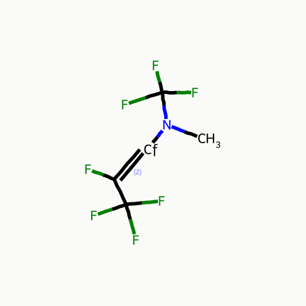 C[N](/[Cf]=[C](\F)C(F)(F)F)C(F)(F)F